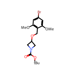 COc1cc(Br)cc(OC)c1COC1CN(C(=O)OC(C)(C)C)C1